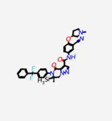 CN1CCC(Oc2ccc(NC(=O)c3cnn4c3C(=O)N(c3ccc(C(F)(F)c5ccccc5)cc3)[C@@](C)([SiH3])C4)cc2C#N)C1